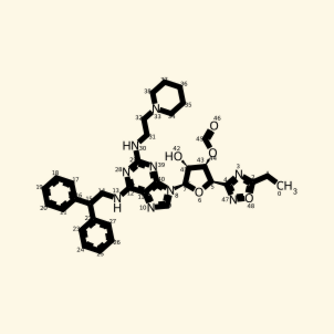 CCc1nc([C@H]2O[C@@H](n3cnc4c(NCC(c5ccccc5)c5ccccc5)nc(NCCN5CCCCC5)nc43)[C@H](O)[C@@H]2OC=O)no1